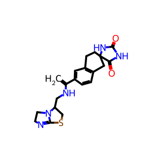 C=C(NCC1CSC2=NCCN21)c1ccc2c(c1)CCC1(C2)NC(=O)NC1=O